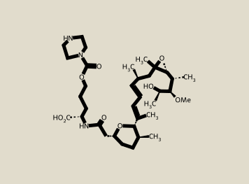 CO[C@H]([C@@H](C)[C@H]1OC1(C)C[C@H](C)/C=C/C=C(\C)[C@H]1O[C@@H](CC(=O)N[C@@H](CCCOC(=O)N2CCNCC2)C(=O)O)CC[C@@H]1C)[C@@H](C)O